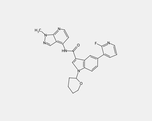 Cn1ncc2c(NC(=O)c3cn(C4CCCCO4)c4ccc(-c5cccnc5F)cc34)ccnc21